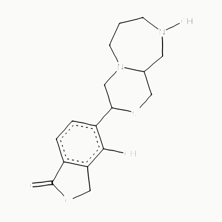 Cc1c(C2CN3CCCN(C)CC3CO2)ccc2c1COC2=O